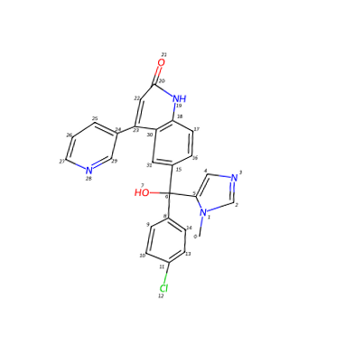 Cn1cncc1C(O)(c1ccc(Cl)cc1)c1ccc2[nH]c(=O)cc(-c3cccnc3)c2c1